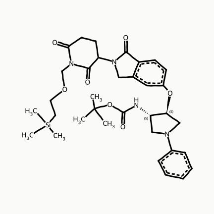 CC(C)(C)OC(=O)N[C@H]1CN(c2ccccc2)C[C@@H]1Oc1ccc2c(c1)CN(C1CCC(=O)N(COCC[Si](C)(C)C)C1=O)C2=O